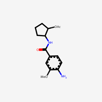 COc1cc(C(=O)NC2CCCC2OC(C)=O)ccc1N